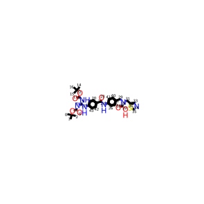 CC(C)(C)OC(=O)/N=C(/NC(=O)OC(C)(C)C)Nc1ccc(C(=O)Nc2ccc(CN(Cc3cncs3)C(=O)O)cc2)cc1